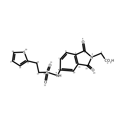 O=C(O)CN1C(=O)c2ccc(NS(=O)(=O)CCc3cccs3)cc2C1=O